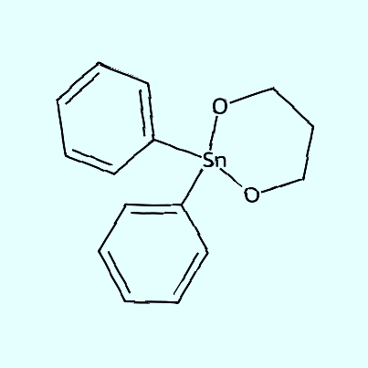 c1cc[c]([Sn]2([c]3ccccc3)[O]CCC[O]2)cc1